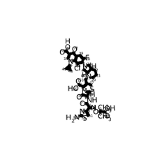 CC(C)(ON=C(C(=O)N[C@@H]1C(=O)N2C(C(=O)O)=C(CN3CCC[C@H]4CN(c5c(F)cc6c(=O)c(C(=O)O)cn(C7CC7)c6c5Cl)C[C@H]43)CS[C@H]12)c1csc(N)n1)C(=O)O